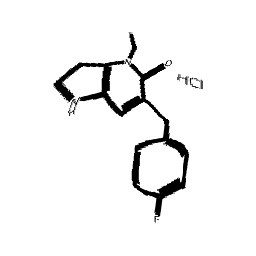 Cl.Cn1c2c(cc(Cc3ccc(F)cc3)c1=O)NCC2